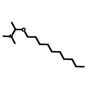 CCCCCCCCCCOC(C)N(C)C